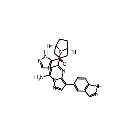 Nc1cc(C2C[C@H]3CC[C@@H](C2)N3C(=O)c2ncn[nH]2)nc2c(-c3ccc4[nH]ncc4c3)cnn12